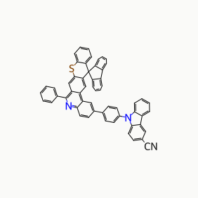 N#Cc1ccc2c(c1)c1ccccc1n2-c1ccc(-c2ccc3nc(-c4ccccc4)c4cc5c(cc4c3c2)C2(c3ccccc3S5)c3ccccc3-c3ccccc32)cc1